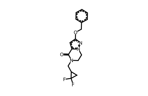 O=C1c2cc(OCc3ccccc3)nn2CCN1CC1CC1(F)F